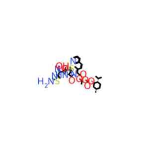 CC(OC(=O)O[C@@H]1C[C@H](C)CC[C@H]1C(C)C)OC(=O)C1=C(/C=C\c2cccnc2)CS[C@@H]2[C@H](NC(=O)/C(=N\O)c3csc(N)n3)C(=O)N12